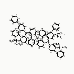 CC1(C)c2ccccc2-c2ccc(N(c3ccc4c(c3)C(C)(C)c3ccccc3-4)c3cccc4c3-c3ccccc3C43c4ccccc4-c4c(N(c5ccc(-c6ccccc6)cc5)c5cccc6c5-c5ccccc5C6(C)C)cccc43)cc21